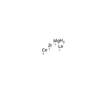 [Ce].[La].[MgH2].[Zr]